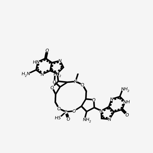 CN1OCC2OC(n3cnc4c(=O)[nH]c(N)nc43)C(N)C2OP(=O)(S)OCC2OC(n3cnc4c(=O)[nH]c(N)nc43)C1C2OP